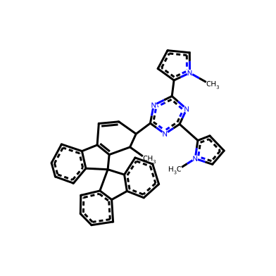 CC1C2=C(C=CC1c1nc(-c3cccn3C)nc(-c3cccn3C)n1)c1ccccc1C21c2ccccc2-c2ccccc21